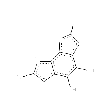 Cc1c(C)c2cc(C(C)(C)C)sc2c2sc(C(C)(C)C)cc12